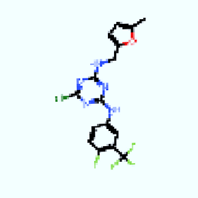 Cc1ccc(CNc2nc(Cl)nc(Nc3ccc(F)c(C(F)(F)F)c3)n2)o1